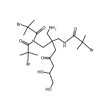 CC(C)(Br)C(=O)NCC(CN)(CC(=O)CC(O)CO)CN(C(=O)C(C)(C)Br)C(=O)C(C)(C)Br